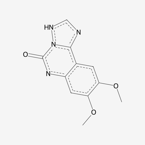 COc1cc2nc(=O)n3[nH]cnc3c2cc1OC